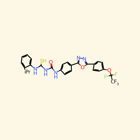 CC(C)c1ccccc1NC(S)NC(=O)Nc1ccc(-c2nnc(-c3ccc(OC(F)(F)C(F)(F)F)cc3)o2)cc1